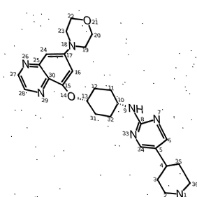 CCN1CCC(c2cnc(N[C@H]3CC[C@@H](Oc4cc(N5CCOCC5)cc5nccnc45)CC3)nc2)CC1